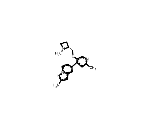 Cc1cc(-c2ccn3nc(N)cc3c2)c(OC[C@H]2CCN2C)cn1